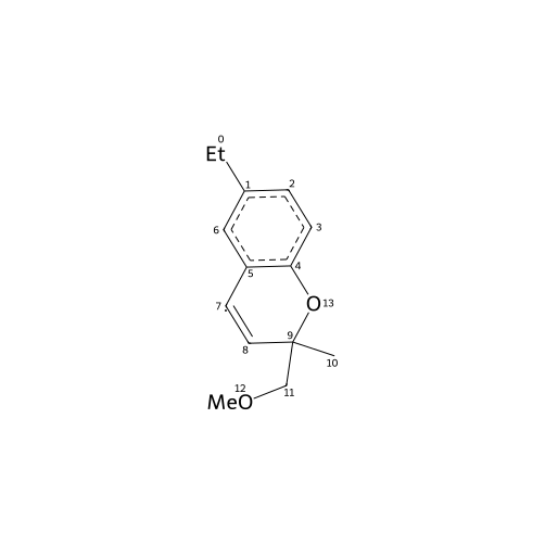 CCc1ccc2c(c1)[C]=CC(C)(COC)O2